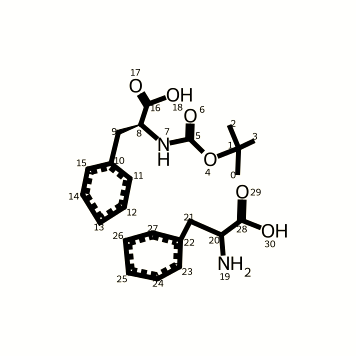 CC(C)(C)OC(=O)N[C@@H](Cc1ccccc1)C(=O)O.NC(Cc1ccccc1)C(=O)O